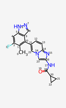 Cc1c(F)cc2[nH]ncc2c1-c1ccc2nc(NC(=O)C3CC3)cn2c1